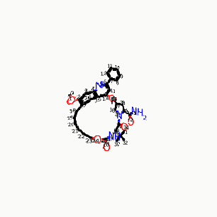 COc1cc2nc(-c3ccccc3)cc3c2cc1CCCCCCOC(=O)N[C@@H](C(C)(C)C)C(=O)N1C[C@@H](C[C@H]1C(N)=O)O3